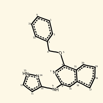 c1ccc(COc2nc(Nc3cc[nH]n3)cc3ccccc23)cc1